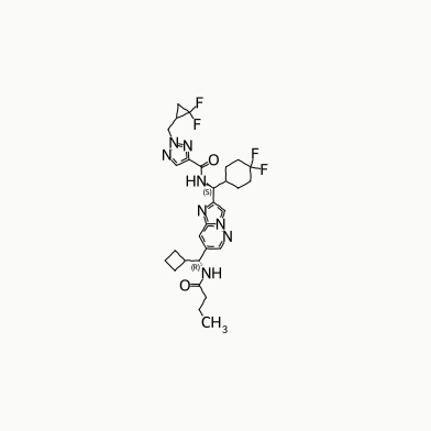 CCCC(=O)N[C@@H](c1cnn2cc([C@@H](NC(=O)c3cnn(CC4CC4(F)F)n3)C3CCC(F)(F)CC3)nc2c1)C1CCC1